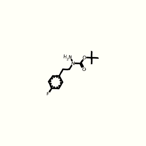 CC(C)(C)OC(=O)N(N)CCc1ccc(F)cc1